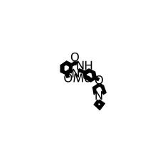 COc1cccc2c(=O)[nH]c(-c3ccc(OC4CCN(C5CCC5)CC4)cc3)nc12